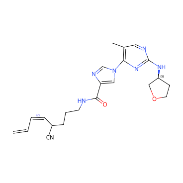 C=C/C=C\C(C#N)CCCNC(=O)c1cn(-c2nc(N[C@H]3CCOC3)ncc2C)cn1